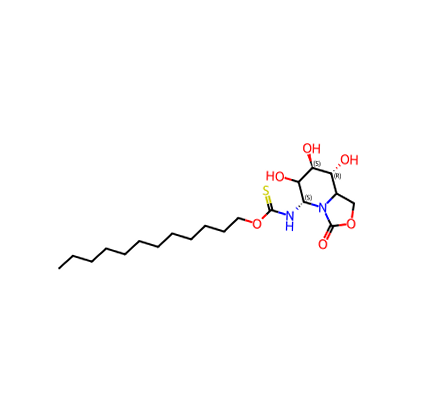 CCCCCCCCCCCCOC(=S)N[C@@H]1C(O)[C@@H](O)[C@H](O)C2COC(=O)N21